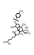 C=C[C@]1(C)C[C@@H](OC(=O)CSCCN(CC)CC)[C@]2(C)C(C)CC[C@]3(CC(OS(=O)(=O)c4ccc(C)cc4)C(O)C32)[C@@H](C)[C@@H]1O